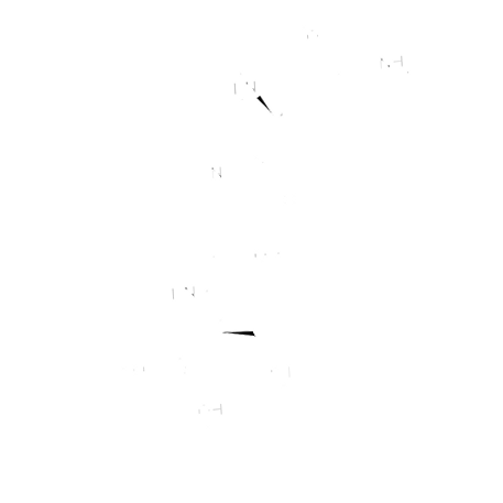 NC(=O)C[C@H](N)C(=O)N1CCC[C@H]1C(=O)N[C@@H](CS)C(=O)O